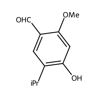 COc1cc(O)c(C(C)C)cc1C=O